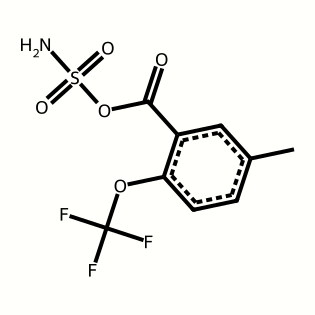 Cc1ccc(OC(F)(F)F)c(C(=O)OS(N)(=O)=O)c1